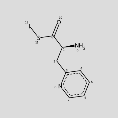 N[C@@H](Cc1ccccn1)C(=O)SI